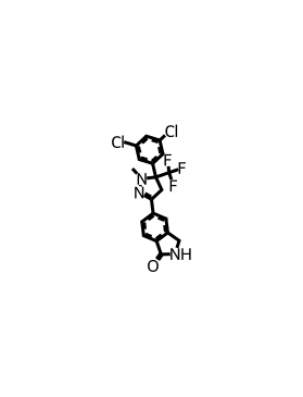 CN1N=C(c2ccc3c(c2)CNC3=O)CC1(c1cc(Cl)cc(Cl)c1)C(F)(F)F